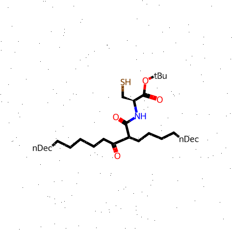 CCCCCCCCCCCCCCCC(=O)C(CCCCCCCCCCCCCC)C(=O)N[C@@H](CS)C(=O)OC(C)(C)C